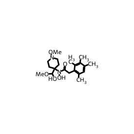 COC(O)C1(N(O)C(=O)Cc2c(C)cc(C)c(C)c2C)CCN(OC)CC1